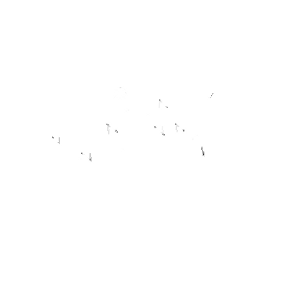 O=C(c1nc2n(n1)[C@H](c1ccccc1)C[C@@H]2F)N1CCn2ccnc2C1